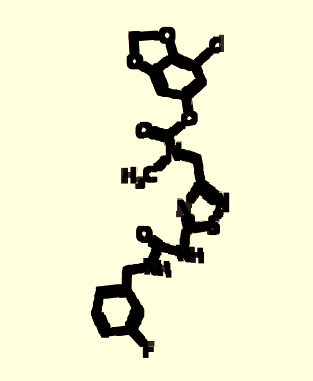 CN(Cc1nsc(NC(=O)NCc2cccc(F)c2)n1)C(=O)Oc1cc(Cl)c2c(c1)OCO2